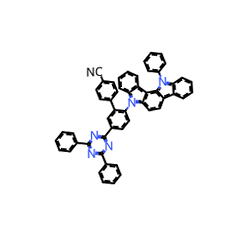 N#Cc1ccc(-c2cc(-c3nc(-c4ccccc4)nc(-c4ccccc4)n3)ccc2-n2c3ccccc3c3c2ccc2c4ccccc4n(-c4ccccc4)c23)cc1